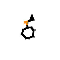 C1CCCC(PC2CC2)CCC1